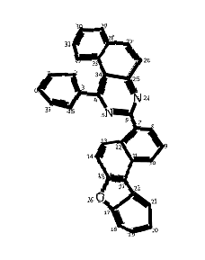 c1ccc(-c2nc(-c3cccc4c3ccc3oc5ccccc5c34)nc3ccc4ccccc4c23)cc1